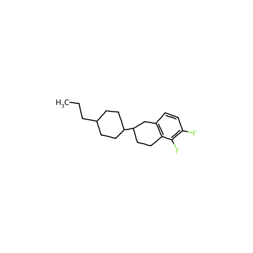 CCCC1CCC(C2CCc3c(ccc(F)c3F)C2)CC1